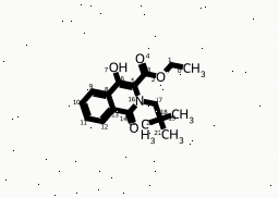 CCOC(=O)c1c(O)c2ccccc2c(=O)n1CC(C)(C)C